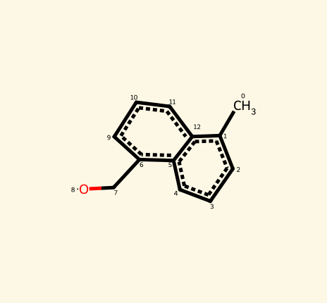 Cc1cccc2c(C[O])cccc12